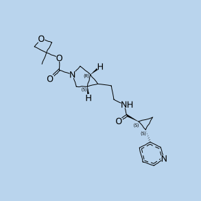 CC1(OC(=O)N2C[C@@H]3C(CCNC(=O)[C@H]4C[C@@H]4c4cccnc4)[C@@H]3C2)COC1